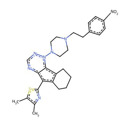 Cc1nc(-c2c3ncnn(N4CCN(CCc5ccc([N+](=O)[O-])cc5)CC4)c-3c3c2CCCC3)sc1C